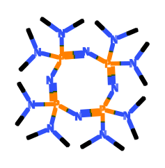 CN(C)P1(N(C)C)=NP(N(C)C)(N(C)C)=NP(N(C)C)(N(C)C)=NP(N(C)C)(N(C)C)=N1